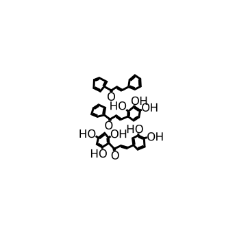 O=C(/C=C/c1ccc(O)c(O)c1)c1c(O)cc(O)cc1O.O=C(/C=C/c1ccc(O)c(O)c1O)c1ccccc1.O=C(/C=C/c1ccccc1)c1ccccc1